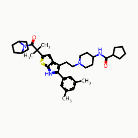 Cc1cc(C)cc(-c2[nH]c3sc(C(C)(C)C(=O)N4C5CCC4CC5)cc3c2CCN2CCC(NC(=O)C3CCCC3)CC2)c1